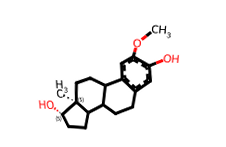 COc1cc2c(cc1O)CCC1C2CC[C@@]2(C)C1CC[C@@H]2O